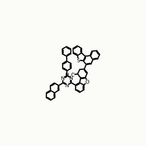 CC1CC(c2cc3ccccc3c3c2sc2ccccc23)=Cc2oc3cccc(-c4nc(-c5ccc(-c6ccccc6)cc5)nc(-c5ccc6ccccc6c5)n4)c3c21